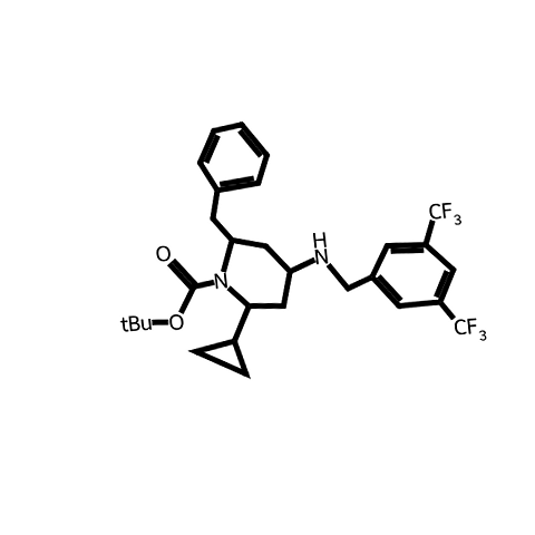 CC(C)(C)OC(=O)N1C(Cc2ccccc2)CC(NCc2cc(C(F)(F)F)cc(C(F)(F)F)c2)CC1C1CC1